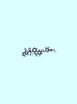 CN(Cc1ccccc1NC(=O)c1cc2sccc2n1C)c1ccc(OC[C@@H]2CCN(N)C2)cc1